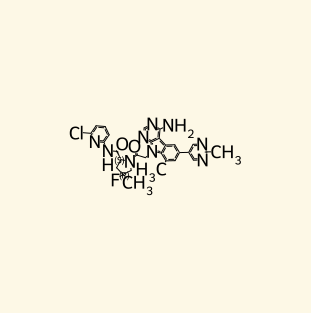 Cc1ncc(-c2cc(C)c3c(c2)c2c(N)ncnc2n3CC(=O)N2C[C@](C)(F)C[C@H]2C(=O)Nc2cccc(Cl)n2)cn1